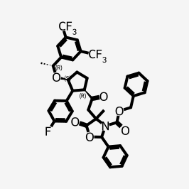 C[C@@H](O[C@H]1CC[C@@H](C(=O)CC2(C)C(=O)OC(c3ccccc3)N2C(=O)OCc2ccccc2)C1c1ccc(F)cc1)c1cc(C(F)(F)F)cc(C(F)(F)F)c1